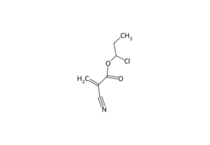 C=C(C#N)C(=O)OC(Cl)CC